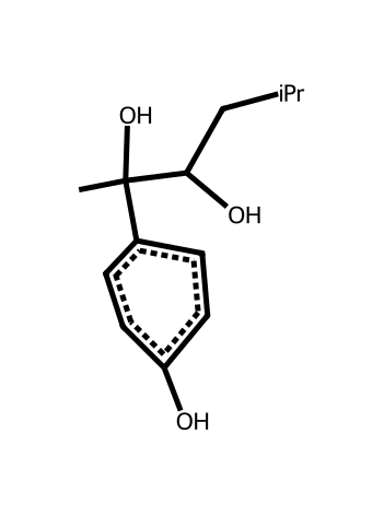 CC(C)CC(O)C(C)(O)c1ccc(O)cc1